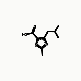 Cc1nc(CC(C)C)c(C(=O)O)s1